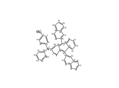 CC(C)(C)c1ccc(N(c2ccc3c(-c4ccc5ccccc5c4)c4ccccc4c(-c4ccc5ccccc5c4)c3c2)c2ccccn2)cc1